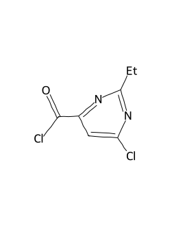 CCc1nc(Cl)cc(C(=O)Cl)n1